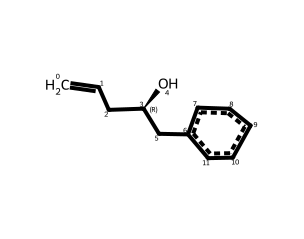 C=CC[C@@H](O)Cc1ccccc1